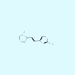 CN1COCC1/C=C/c1csc(N)n1